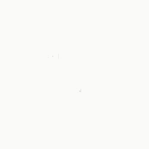 C/C=C(\C=O)[Si](C)(C)C